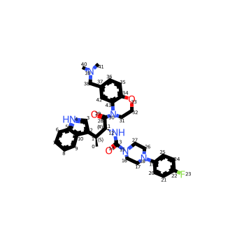 C[C@@H](c1c[nH]c2ccccc12)[C@@H](NC(=O)N1CCN(c2ccc(F)cc2)CC1)C(=O)N1CCOc2ccc(CN(C)C)cc21